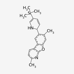 Cc1ccc2c(n1)oc1cc(C)c(C3C=CC([Si](C)(C)C)=CN3)cc12